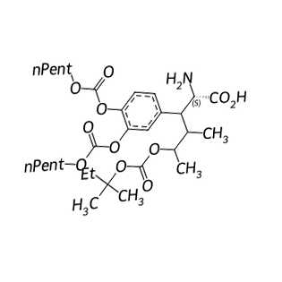 CCCCCOC(=O)Oc1ccc(C(C(C)C(C)OC(=O)OC(C)(C)CC)[C@H](N)C(=O)O)cc1OC(=O)OCCCCC